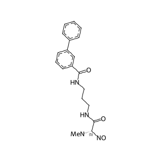 CN[C@@H](N=O)C(=O)NCCCNC(=O)c1cccc(-c2ccccc2)c1